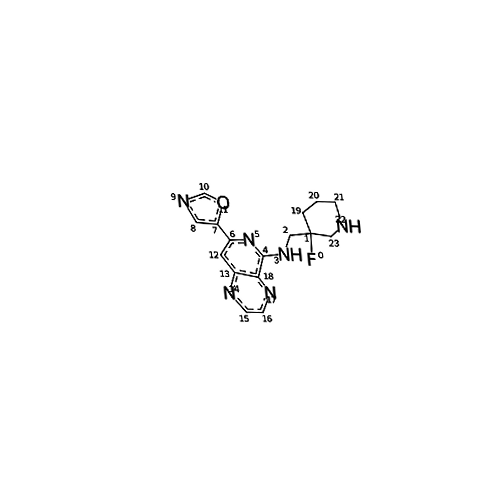 FC1(CNc2nc(-c3cnco3)cc3nccnc23)CCCNC1